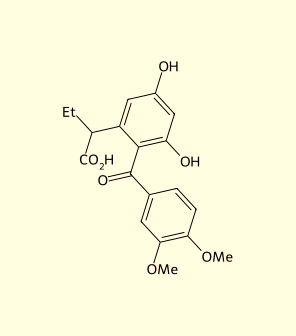 CCC(C(=O)O)c1cc(O)cc(O)c1C(=O)c1ccc(OC)c(OC)c1